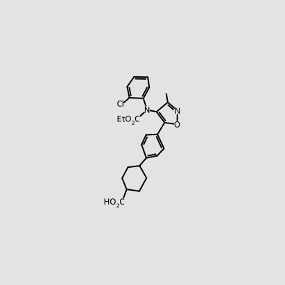 CCOC(=O)N(c1ccccc1Cl)c1c(C)noc1-c1ccc(C2CCC(C(=O)O)CC2)cc1